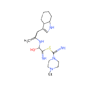 C=C(CC1=CNC2CCCCC12)NC(O)C(=N)SC(=N)N1CCN(CC)CC1